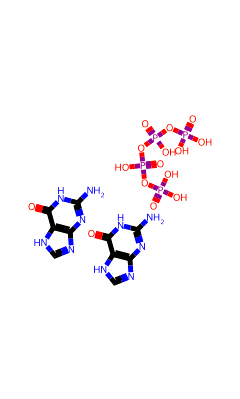 Nc1nc2nc[nH]c2c(=O)[nH]1.Nc1nc2nc[nH]c2c(=O)[nH]1.O=P(O)(O)OP(=O)(O)OP(=O)(O)OP(=O)(O)O